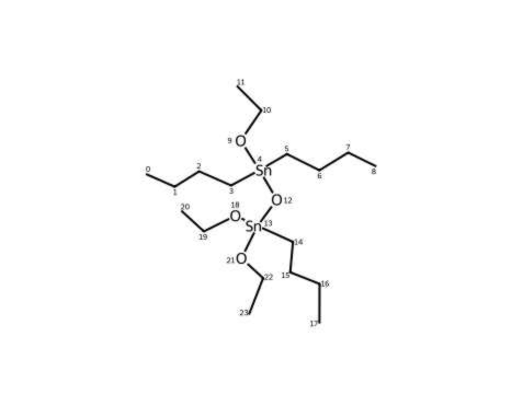 CCC[CH2][Sn]([CH2]CCC)([O]CC)[O][Sn]([CH2]CCC)([O]CC)[O]CC